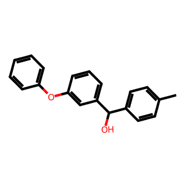 Cc1ccc(C(O)c2cccc(Oc3ccccc3)c2)cc1